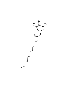 CCCCCCCCCCCCC(=S)CC1CC(=O)NC(=O)C1